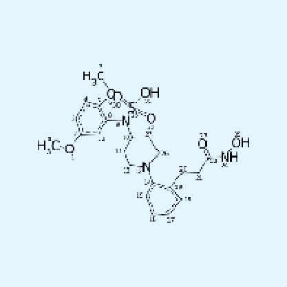 COc1ccc(OC)c(N(C2CCN(c3ccccc3/C=C/C(=O)NO)CC2)S(=O)(=O)O)c1